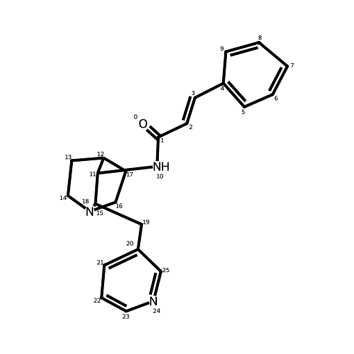 O=C(C=Cc1ccccc1)NC1C2CCN(CC2)C1Cc1cccnc1